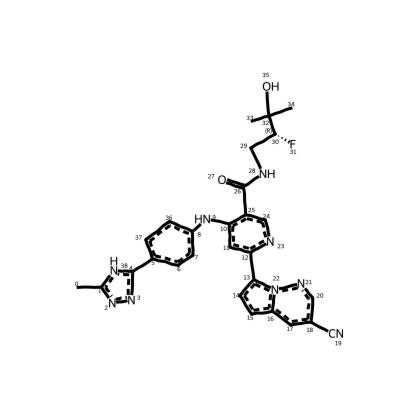 Cc1nnc(-c2ccc(Nc3cc(-c4ccc5cc(C#N)cnn45)ncc3C(=O)NC[C@@H](F)C(C)(C)O)cc2)[nH]1